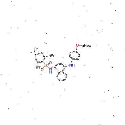 CCCCCCOc1ccc(Nc2ccc(NS(=O)(=O)c3c(C(C)C)cc(C(C)C)cc3C(C)C)c3ccccc23)cc1